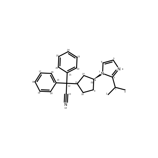 CC(C)c1nccn1[C@H]1CCC(C(C#N)(c2ccccc2)c2ccccc2)C1